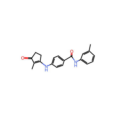 CC1=C(Nc2ccc(C(=O)Nc3cccc(C)c3)cc2)CCC1=O